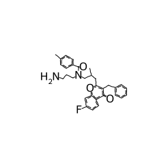 Cc1ccc(C(=O)N(CCCN)CC(C)Cc2oc3cc(F)ccc3c(=O)c2Cc2ccccc2)cc1